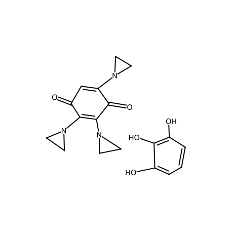 O=C1C=C(N2CC2)C(=O)C(N2CC2)=C1N1CC1.Oc1cccc(O)c1O